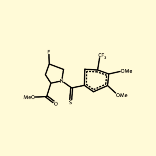 COC(=O)C1CC(F)CN1C(=S)c1cc(OC)c(OC)c(C(F)(F)F)c1